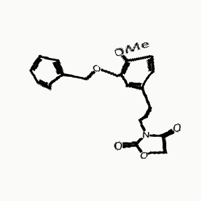 COc1ccc(CCN2C(=O)COC2=O)cc1OCc1ccccc1